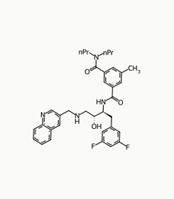 CCCN(CCC)C(=O)c1cc(C)cc(C(=O)N[C@@H](Cc2cc(F)cc(F)c2)[C@H](O)CNCc2cnc3ccccc3c2)c1